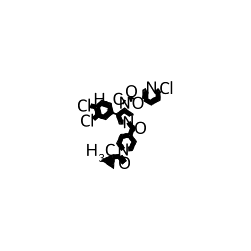 CN(C(=O)Oc1ccc(Cl)nc1)[C@@H]1CN(C(=O)C2CCN(C(=O)C3(C)CC3)CC2)C[C@H]1c1ccc(Cl)c(Cl)c1